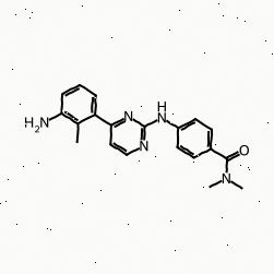 Cc1c(N)cccc1-c1ccnc(Nc2ccc(C(=O)N(C)C)cc2)n1